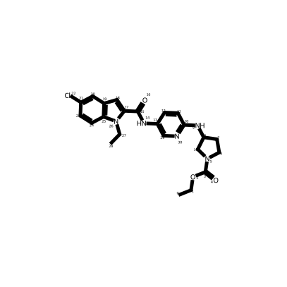 CCOC(=O)N1CCC(Nc2ccc(NC(=O)c3cc4cc(Cl)ccc4n3CC)cn2)C1